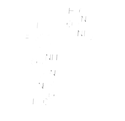 C/N=C(/N)OCCc1cc(NC(=O)c2cnc(OC)cn2)cc(F)c1F